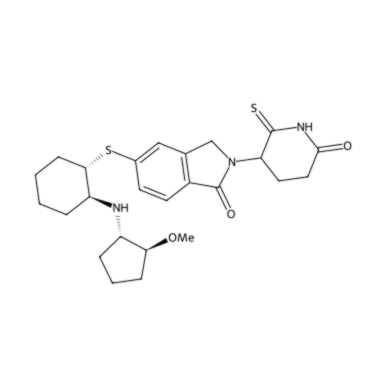 CO[C@H]1CCC[C@@H]1N[C@H]1CCCC[C@@H]1Sc1ccc2c(c1)CN(C1CCC(=O)NC1=S)C2=O